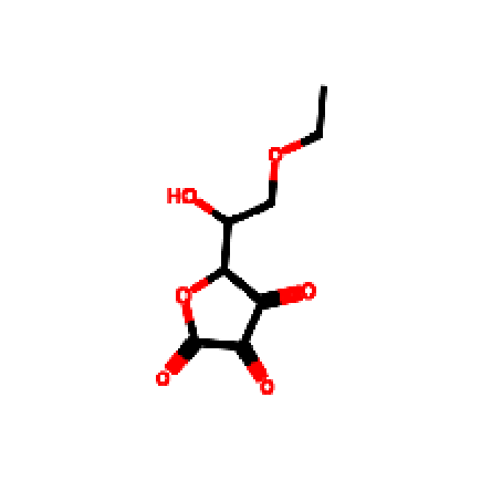 CCOCC(O)C1OC(=O)C(=O)C1=O